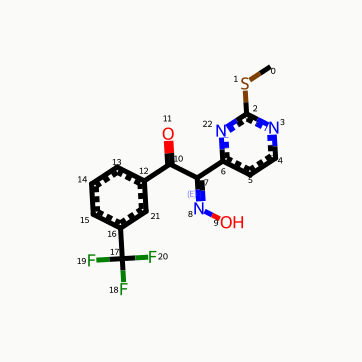 CSc1nccc(/C(=N\O)C(=O)c2cccc(C(F)(F)F)c2)n1